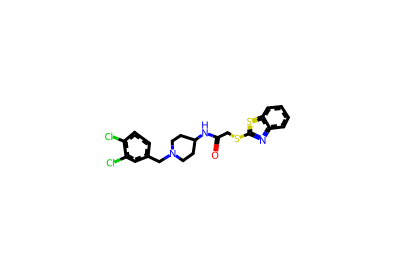 O=C(CSc1nc2ccccc2s1)NC1CCN(Cc2ccc(Cl)c(Cl)c2)CC1